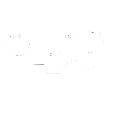 Nc1nccc2c(Br)nc(-c3ccc(Oc4ccccc4)cc3F)n12